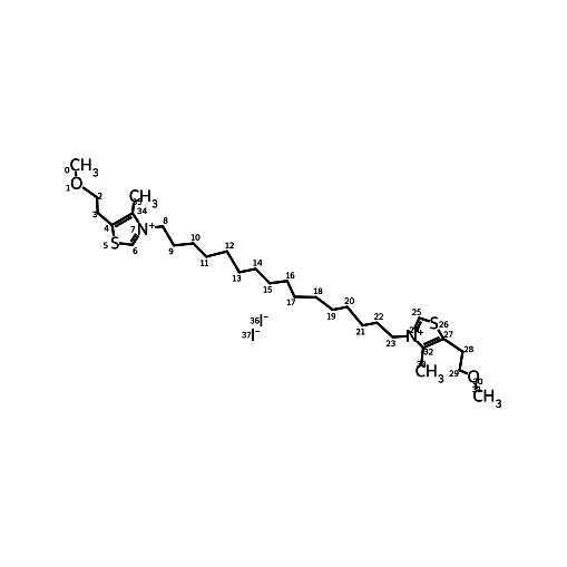 COCCc1sc[n+](CCCCCCCCCCCCCCCC[n+]2csc(CCOC)c2C)c1C.[I-].[I-]